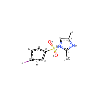 CCc1nc(C)cn1S(=O)(=O)c1ccc(I)cc1